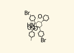 Cc1ccc(S(=O)(=O)N[C@@]2(c3ccc(Br)cc3)C=C(c3ccc(Br)cc3)C[C@H](c3ccccc3)[C@H]2C=O)cc1